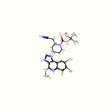 CSc1nc2c(F)c(Br)c(Cl)cc2c2c1ncn2[C@H]1CCN(C(=O)OC(C)(C)C)[C@H](CC#N)C1